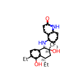 CCc1ccc2c(c1O)[C@@H](CC)C[C@](O)(C(F)(F)F)[C@H]2Nc1cccc2[nH]c(=O)ccc12